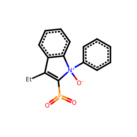 CCC1=C(P(=O)=O)[N+]([O-])(c2ccccc2)c2ccccc21